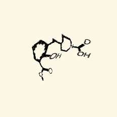 COC(=O)c1cccc(CC2CCN(C(=O)O)CC2)c1O